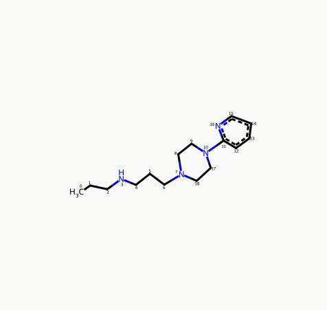 CCCNCCCN1CCN(c2ccccn2)CC1